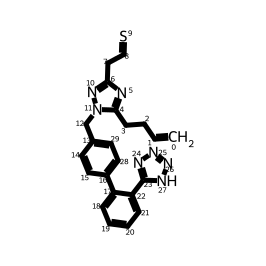 C=CCCc1nc(CC=S)nn1Cc1ccc(-c2ccccc2-c2nnn[nH]2)cc1